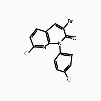 O=c1c(Br)cc2ccc(Cl)nc2n1-c1ccc(Cl)cc1